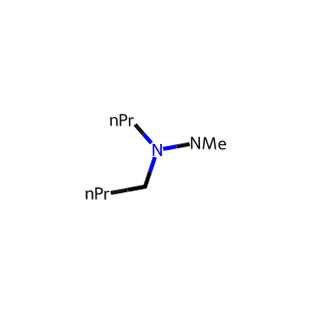 [CH2]NN(CCC)CCCC